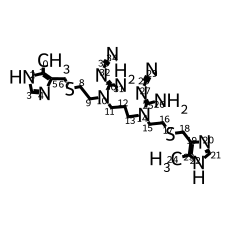 Cc1[nH]cnc1CSCCN(CCCN(CCSCc1nc[nH]c1C)C(N)=NC#N)C(N)=NC#N